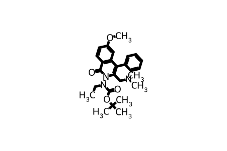 CCN(C(=O)OC(C)(C)C)n1c(CN(C)C)c(-c2ccccc2)c2cc(OC)ccc2c1=O